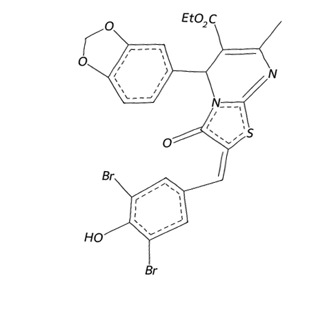 CCOC(=O)C1=C(C)N=c2sc(=Cc3cc(Br)c(O)c(Br)c3)c(=O)n2C1c1ccc2c(c1)OCO2